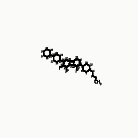 CCCCC1CCC(c2ccc3c(c2F)-c2c-3cc(C3CCC(C4CCCCC4)CC3)c(F)c2F)CC1